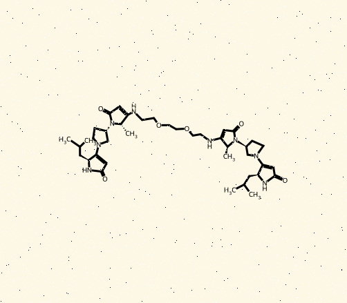 CC(C)C[C@@H]1NC(=O)C=C1N1CC[C@H](N2C(=O)C=C(NCCOCCOCCNC3=CC(=O)N([C@H]4CCN(C5=CC(=O)N[C@H]5CC(C)C)C4)[C@H]3C)[C@@H]2C)C1